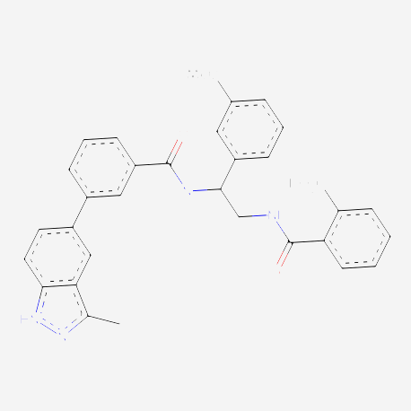 COc1cccc(C(CNC(=O)c2ccccc2C(=O)O)NC(=O)c2cccc(-c3ccc4[nH]nc(C)c4c3)c2)c1